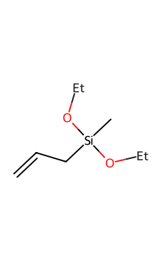 C=CC[Si](C)(OCC)OCC